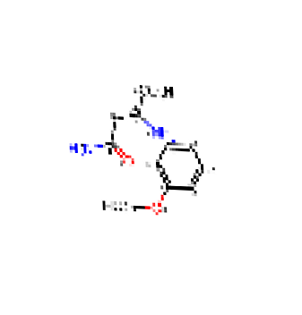 NC(=O)C[C@H](N)C(=O)O.O=S(=O)(O)Oc1ccccc1